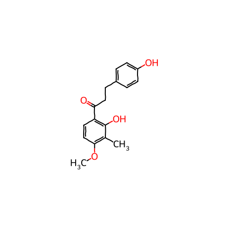 COc1ccc(C(=O)CCc2ccc(O)cc2)c(O)c1C